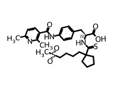 Cc1ccc(C(=O)Nc2ccc(C[C@H](NC(=S)C3(CCCCS(C)(=O)=O)CCCC3)C(=O)O)cc2)c(C)n1